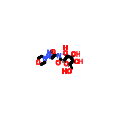 O=C([N-]c1c[n+](N2CCOCC2)no1)[C@H]1O[C@H](CO)[C@@H](O)[C@H](O)[C@H]1O